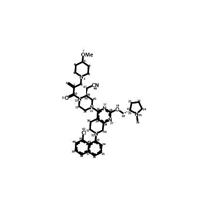 C=C(CN1CCC(OC)CC1)C(=O)N1CCN(c2nc(OC[C@@H]3CCCN3C)nc3c2CCN(c2cccc4cccc(Cl)c24)C3)C[C@@H]1CC#N